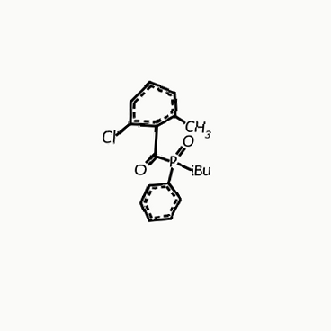 CCC(C)P(=O)(C(=O)c1c(C)cccc1Cl)c1ccccc1